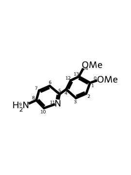 COc1ccc(-c2ccc(N)cn2)cc1OC